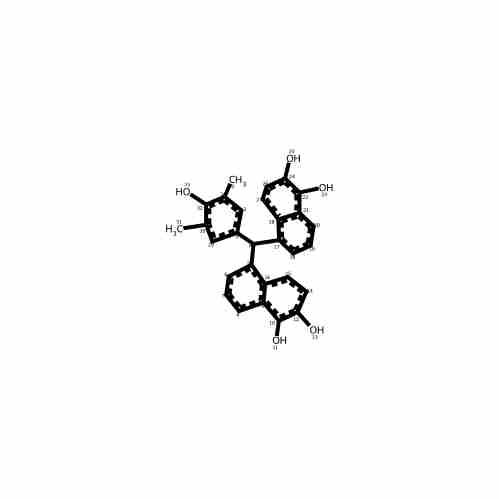 Cc1cc(C(c2cccc3c(O)c(O)ccc23)c2cccc3c(O)c(O)ccc23)cc(C)c1O